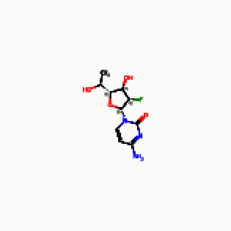 CC(O)[C@H]1O[C@@H](n2ccc(N)nc2=O)[C@H](F)[C@@H]1O